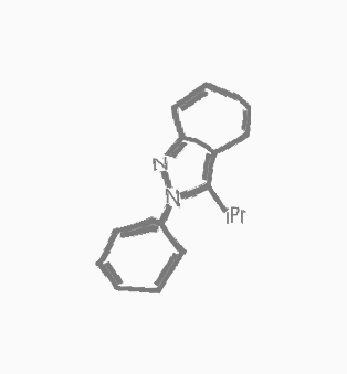 CC(C)c1c2ccccc2nn1-c1ccccc1